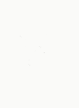 CCC(CC)CN(CCCN1C2CCC1CC(c1cccc(C(N)=O)c1)C2)C(=O)CS(C)(=O)=O